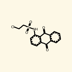 O=C1c2ccccc2C(=O)c2c(NS(=O)(=O)CCCl)cccc21